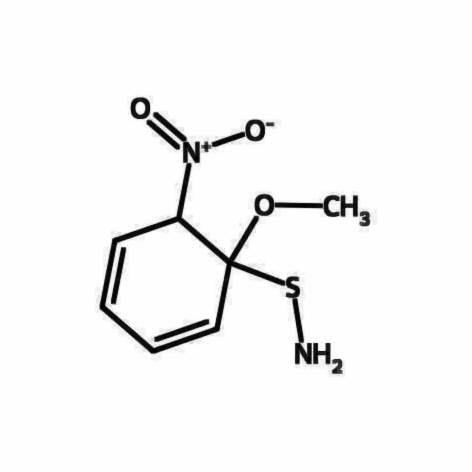 COC1(SN)C=CC=CC1[N+](=O)[O-]